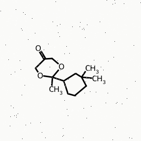 CC1(C)CCCC(C2(C)OCC(=O)CO2)C1